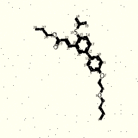 CCCCOCCOc1ccc(-c2ccc(SC(C)C)c(/C=C/C(=O)OCCC)c2)cc1